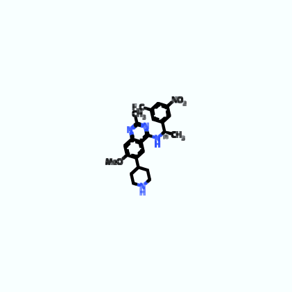 COc1cc2nc(C)nc(N[C@H](C)c3cc([N+](=O)[O-])cc(C(F)(F)F)c3)c2cc1C1CCNCC1